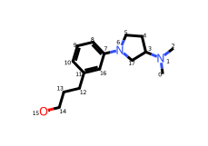 CN(C)C1CCN(c2cccc(CCC[O])c2)C1